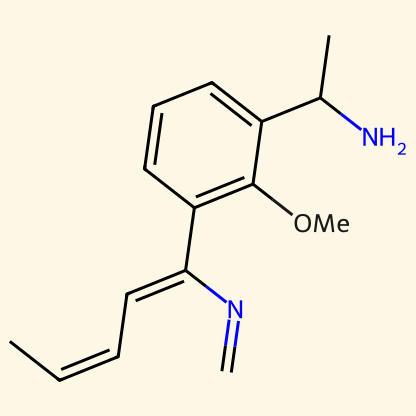 C=N/C(=C\C=C/C)c1cccc(C(C)N)c1OC